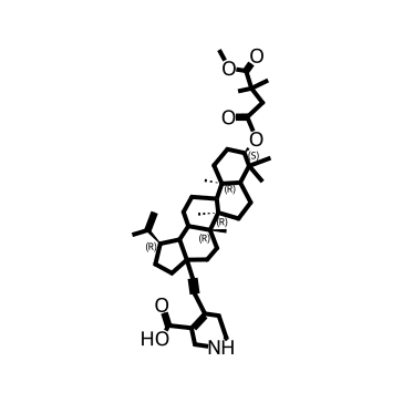 C=C(C)[C@@H]1CCC2(C#CC3=C(C(=O)O)CNCC3)CC[C@]3(C)C(CCC4[C@@]5(C)CC[C@H](OC(=O)CC(C)(C)C(=O)OC)C(C)(C)C5CC[C@]43C)C12